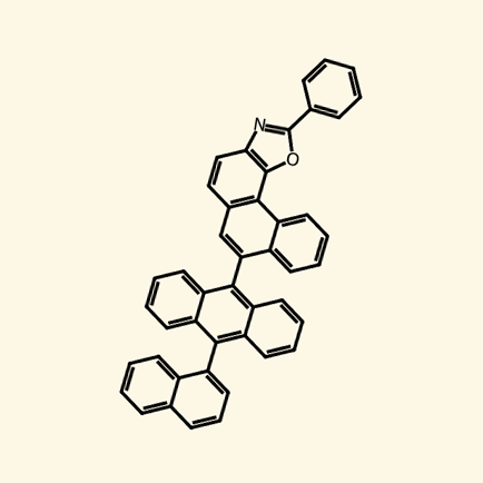 c1ccc(-c2nc3ccc4cc(-c5c6ccccc6c(-c6cccc7ccccc67)c6ccccc56)c5ccccc5c4c3o2)cc1